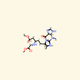 COC(=O)CNC(CCc1c(C)nc2n1C(=O)C1N=CNC1N2C)CC(=O)OC